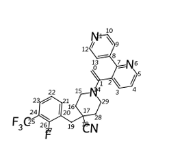 C=C(c1cccnc1-c1ccncc1)N1CCC(C#N)(Cc2cccc(C(F)(F)F)c2F)CC1